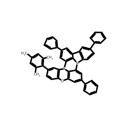 Cc1cc(C)c(-c2ccc3c(c2)B2c4c(cc(-c5ccccc5)cc4-n4c5ccc(-c6ccccc6)cc5c5cc(-c6ccccc6)cc2c54)O3)c(C)c1